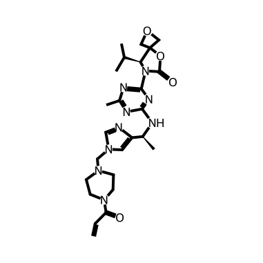 C=CC(=O)N1CCN(Cn2cnc([C@H](C)Nc3nc(C)nc(N4C(=O)OC5(COC5)[C@@H]4C(C)C)n3)c2)CC1